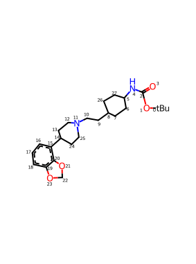 CC(C)(C)OC(=O)NC1CCC(CCN2CCC(c3cccc4c3OCO4)CC2)CC1